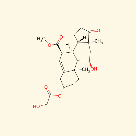 COC(=O)[C@@H]1C=C2C[C@@H](OC(=O)CO)CC[C@]2(C)C2[C@@H]1[C@@H]1CCC(=O)[C@@]1(C)C[C@H]2O